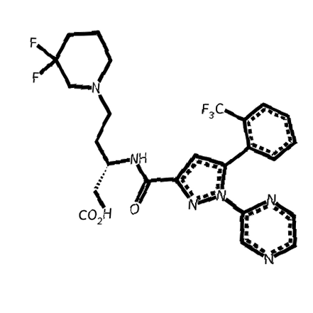 O=C(O)C[C@H](CCN1CCCC(F)(F)C1)NC(=O)c1cc(-c2ccccc2C(F)(F)F)n(-c2cnccn2)n1